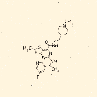 Cc1cc2nc(N[C@@H](C)c3cncc(F)c3)nc(C(=O)NCCC3CCN(C)CC3)c2s1